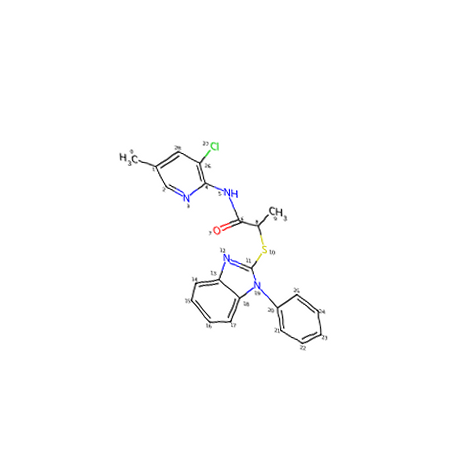 Cc1cnc(NC(=O)C(C)Sc2nc3ccccc3n2-c2ccccc2)c(Cl)c1